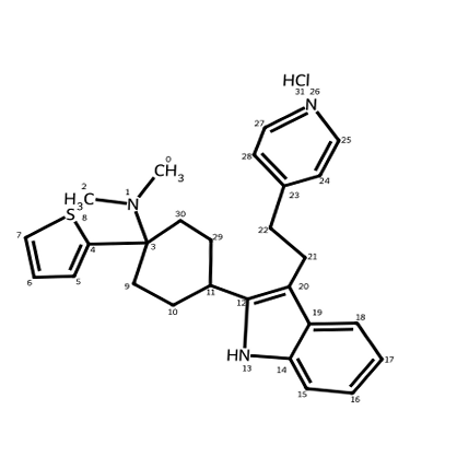 CN(C)C1(c2cccs2)CCC(c2[nH]c3ccccc3c2CCc2ccncc2)CC1.Cl